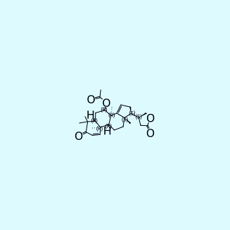 CC(=O)O[C@@H]1C[C@H]2C(C)(C)C(=O)C=C[C@]2(C)[C@H]2CC[C@]3(C)C(=CC[C@H]3[C@H]3COC(=O)C3)[C@@]21C